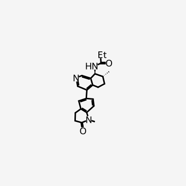 CCC(=O)N[C@@H]1c2cncc(-c3ccc4c(c3)CCC(=O)N4C)c2CC[C@H]1C